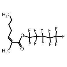 CCCCC=C(C)C(=O)OC(F)(F)C(F)(F)C(F)(F)C(F)(F)C(F)(F)F